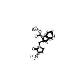 CC(C)(C)OC(=O)n1c(CN2CC[C@H](N)C2=O)cc2cnccc21